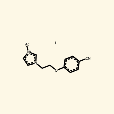 CC(=O)[n+]1ccn(CCOc2ccc(C#N)cc2)c1.[I-]